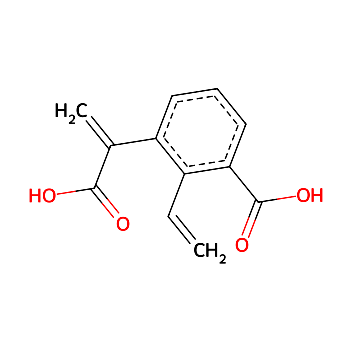 C=Cc1c(C(=C)C(=O)O)cccc1C(=O)O